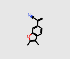 C=C(C#N)c1ccc2c(C)c(C)oc2c1